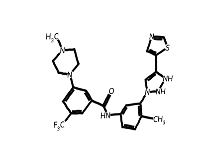 Cc1ccc(NC(=O)c2cc(N3CCN(C)CC3)cc(C(F)(F)F)c2)cc1N1C=C(c2cncs2)NN1